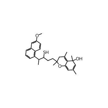 COc1ccc2c(C(C)C(S)CCC3(C)CC(C)=C4C(=CC(C)=CC4(C)O)O3)cccc2c1